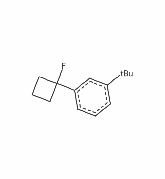 CC(C)(C)c1cccc(C2(F)CCC2)c1